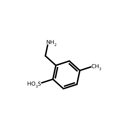 Cc1ccc(S(=O)(=O)O)c(CN)c1